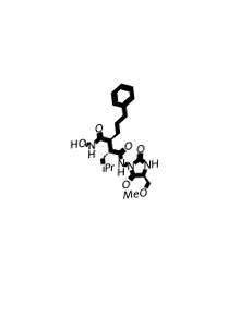 COC[C@@H]1NC(=O)N(NC(=O)[C@H](CC(C)C)[C@H](CCCc2ccccc2)C(=O)NO)C1=O